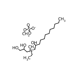 CCCCCCCCCCC(O)C[N+](C)(CC)CC(O)CO.COS(=O)(=O)[O-]